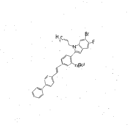 C=CCn1c(-c2ccc(/C=C/c3ccc(-c4ccccc4)cc3)cc2CCCC)cc2cc(F)c(Br)cc21